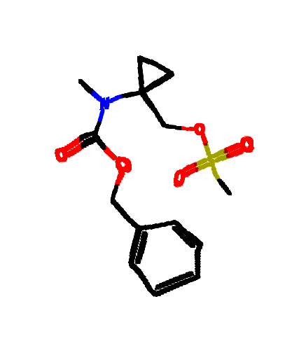 CN(C(=O)OCc1ccccc1)C1(COS(C)(=O)=O)CC1